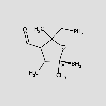 B[C@]1(C)OC(C)(CP)C(C=O)C1C